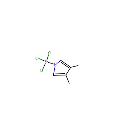 Cc1c[n]([Zr]([Cl])([Cl])[Cl])cc1C